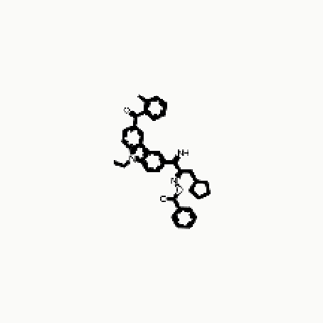 CCn1c2ccc(C(=N)C(CC3CCCC3)=NOC(=O)c3ccccc3)cc2c2cc(C(=O)c3ccccc3C)ccc21